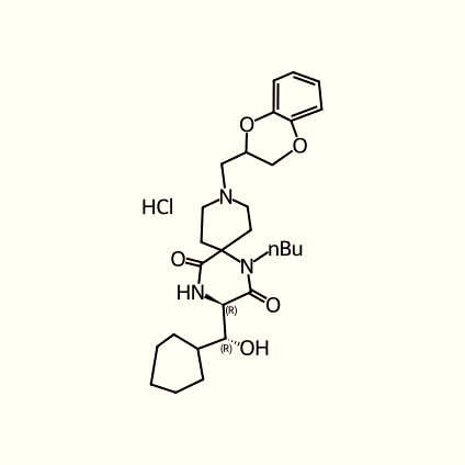 CCCCN1C(=O)[C@@H]([C@H](O)C2CCCCC2)NC(=O)C12CCN(CC1COc3ccccc3O1)CC2.Cl